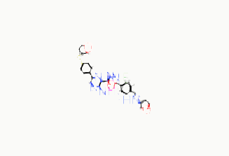 Nc1ncc(-c2ccc(SC3CCOC3)cc2)nc1-c1nnc(-c2ccc(CNC3CCOC3)cc2F)o1